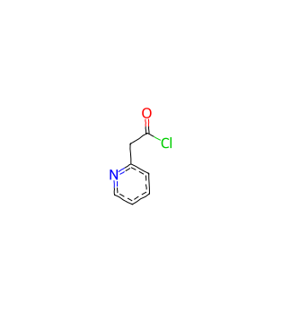 O=C(Cl)Cc1ccccn1